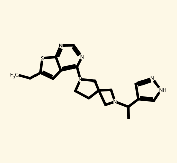 CC(c1cn[nH]c1)N1CC2(CCN(c3ncnc4sc(CC(F)(F)F)cc34)C2)C1